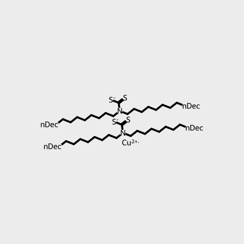 CCCCCCCCCCCCCCCCCCN(CCCCCCCCCCCCCCCCCC)C(=S)[S-].CCCCCCCCCCCCCCCCCCN(CCCCCCCCCCCCCCCCCC)C(=S)[S-].[Cu+2]